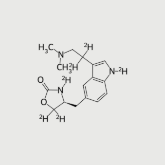 [2H]N1C(=O)OC([2H])([2H])[C@@H]1Cc1ccc2c(c1)c(C([2H])([2H])CN(C)C)cn2[2H]